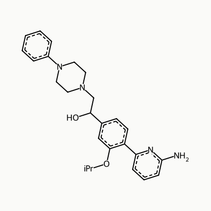 CC(C)Oc1cc(C(O)CN2CCN(c3ccccc3)CC2)ccc1-c1cccc(N)n1